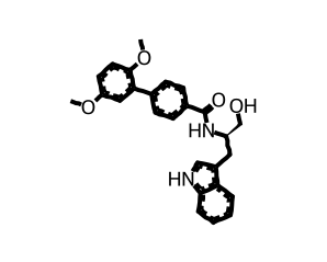 COc1ccc(OC)c(-c2ccc(C(=O)N[C@@H](CO)Cc3c[nH]c4ccccc34)cc2)c1